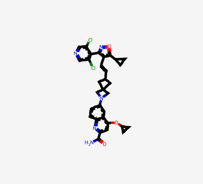 NC(=O)c1cc(OC2CC2)c2cc(N3CC4(CC(/C=C/c5c(-c6c(Cl)cncc6Cl)noc5C5CC5)C4)C3)ccc2n1